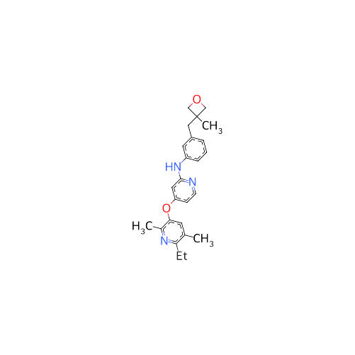 CCc1nc(C)c(Oc2ccnc(Nc3cccc(CC4(C)COC4)c3)c2)cc1C